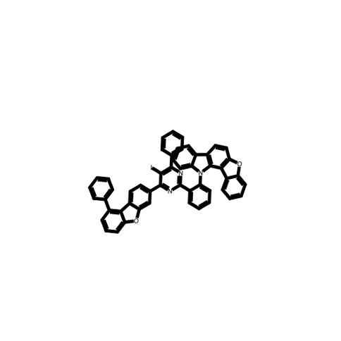 Ic1c(-c2ccccc2)nc(-c2ccccc2-n2c3ccccc3c3ccc4oc5ccccc5c4c32)nc1-c1ccc2c(c1)oc1cccc(-c3ccccc3)c12